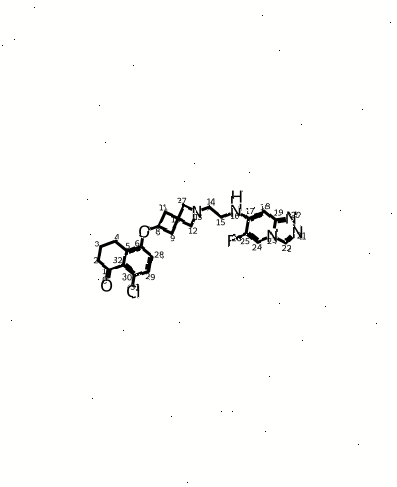 O=C1CCCc2c(OC3CC4(C3)CN(CCNc3cc5nncn5cc3F)C4)ccc(Cl)c21